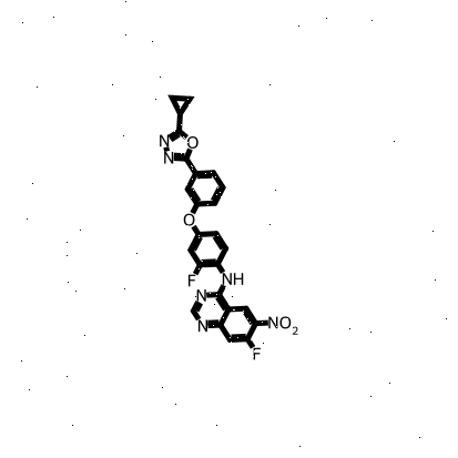 O=[N+]([O-])c1cc2c(Nc3ccc(Oc4cccc(-c5nnc(C6CC6)o5)c4)cc3F)ncnc2cc1F